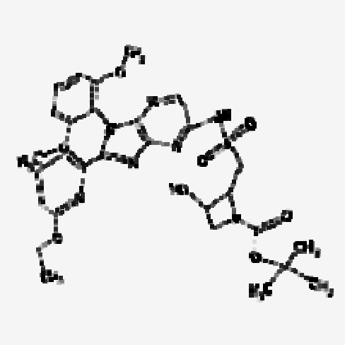 CCOc1cccc(-c2nc3nc(NS(=O)(=O)CC4C(O)CN4C(=O)OC(C)(C)C)cnc3n2-c2c(OC)cccc2OC)n1